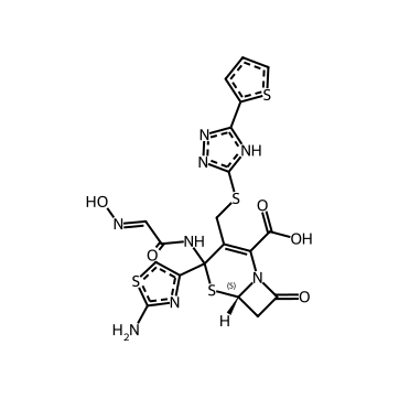 Nc1nc(C2(NC(=O)C=NO)S[C@H]3CC(=O)N3C(C(=O)O)=C2CSc2nnc(-c3cccs3)[nH]2)cs1